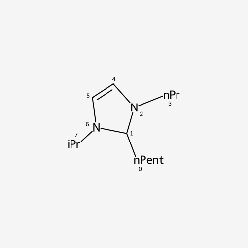 CCCCCC1N(CCC)C=CN1C(C)C